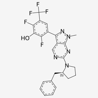 Cn1nc(-c2cc(C(F)(F)F)c(F)c(O)c2F)c2cnc(N3CCC[C@H]3Cc3ccccc3)nc21